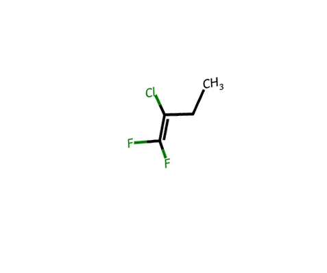 CCC(Cl)=C(F)F